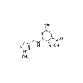 Cn1cc(CNc2nc(C(C)(C)C)cn3c(=O)[nH]nc23)cn1